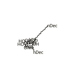 CCCCCCCCCCCCCCCCCCCCCCCC(=O)NC(=O)NC(CO[C@H]1O[C@H](COC)[C@H](O)[C@H](O)[C@H]1O)C(O)C(O)CCCCCCCCCCCCCC